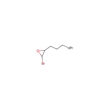 CCCCCCC1OC1Br